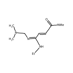 CCNC(/C=C/C(=O)NC)=N/CN(C)C